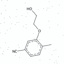 Cc1ccc(C#N)cc1OCCO